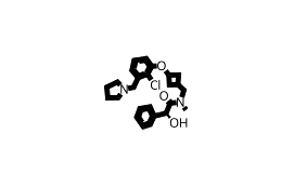 CN(CC1CC(Oc2cccc(CN3CCCC3)c2Cl)C1)C(=O)[C@@H](O)c1ccccc1